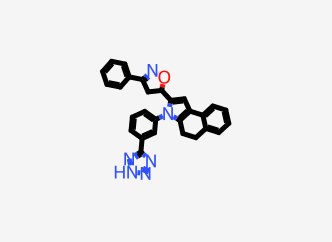 c1ccc(C2=NOC(c3cc4c(n3-c3cccc(-c5nn[nH]n5)c3)CCc3ccccc3-4)C2)cc1